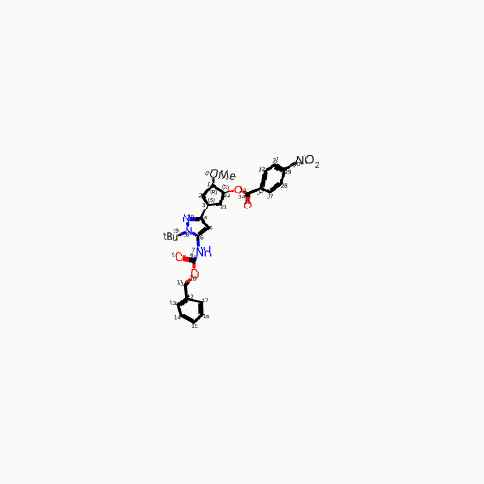 CO[C@@H]1C[C@H](c2cc(NC(=O)OCc3ccccc3)n(C(C)(C)C)n2)C[C@@H]1OC(=O)c1ccc([N+](=O)[O-])cc1